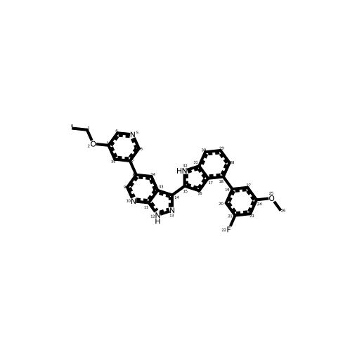 CCOc1cncc(-c2cnc3[nH]nc(-c4cc5c(-c6cc(F)cc(OC)c6)cccc5[nH]4)c3c2)c1